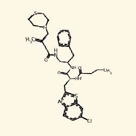 C=C(CN1CCSCC1)C(=O)NCC(Cc1ccccc1)NC(=O)[C@H](Cc1nc2ccc(Cl)cc2s1)NC(=O)CCC